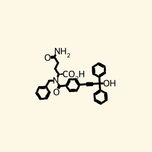 NC(=O)CC[C@@H](C(=O)O)N(Cc1ccccc1)C(=O)c1ccc(C#CC(O)(c2ccccc2)c2ccccc2)cc1